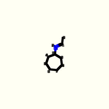 CC=NC1CCCCCC1